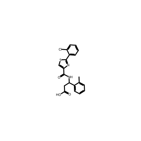 Cc1ccccc1C(CC(=O)O)NC(=O)c1csc(-c2ccccc2Cl)n1